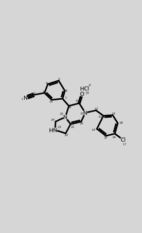 Cl.N#Cc1cccc(C2C(=O)N(Cc3ccc(Cl)cc3)C=C3CNCN32)c1